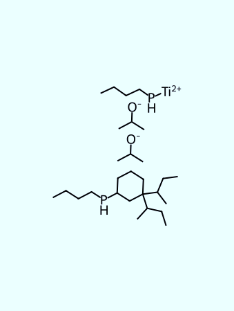 CC(C)[O-].CC(C)[O-].CCCCPC1CCCC(C(C)CC)(C(C)CC)C1.CCCC[PH][Ti+2]